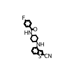 N#Cc1cc2c(NC3CCC(NC(=O)c4ccc(F)cc4)CC3)cccc2s1